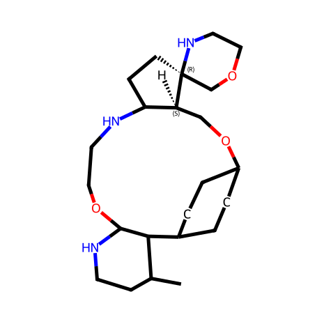 CC1CCNC2OCCNC3CC[C@]4(COCCN4)[C@H]3COC3CCC(CC3)C12